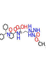 CCOC(=O)NC(=N)NCCC[C@H](NC(=O)c1cccn(C(c2ccccc2)c2ccccc2)c1=O)C(=O)O